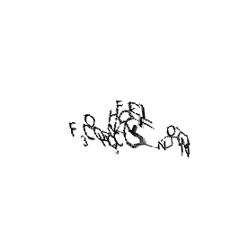 CC(NC(=O)COC(=O)C(F)(F)F)(c1cc(F)c(Cl)c(F)c1)c1ccc(CN2CCC3(CC2)OCc2ccncc23)cn1